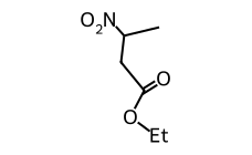 CCOC(=O)CC(C)[N+](=O)[O-]